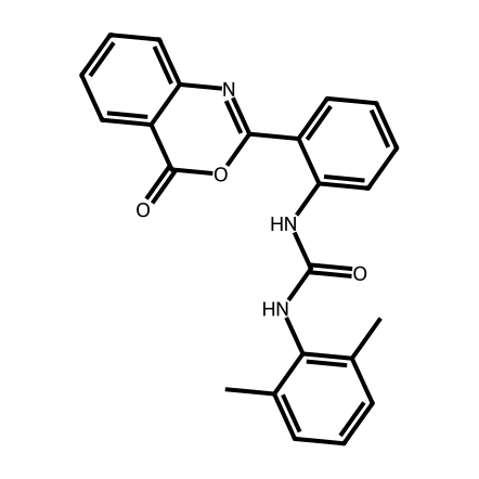 Cc1cccc(C)c1NC(=O)Nc1ccccc1-c1nc2ccccc2c(=O)o1